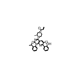 C=CC(=O)N1CCN(c2nc(=O)n(-c3ccccc3C(C)C)c3nc(-c4ccccc4O)c(Cl)cc23)[C@@H](C)C1